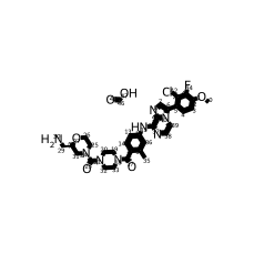 COc1ccc(-c2cnc3c(Nc4ccc(C(=O)N5CCN(C(=O)N6CCO[C@H](CN)C6)CC5)c(C)c4)nccn23)c(Cl)c1F.O=CO